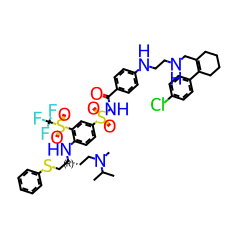 CC(C)N(C)CC[C@H](CSc1ccccc1)Nc1ccc(S(=O)(=O)NC(=O)c2ccc(NCCNCC3=C(c4ccc(Cl)cc4)CCCC3)cc2)cc1S(=O)(=O)C(F)(F)F